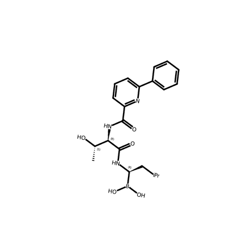 CC(C)C[C@H](NC(=O)[C@H](NC(=O)c1cccc(-c2ccccc2)n1)[C@H](C)O)B(O)O